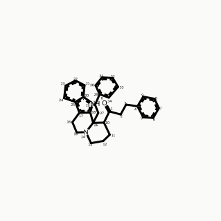 O=C(CCc1ccccc1)C1CCCN2CCc3c([nH]c4ccccc34)C12CCc1ccccc1